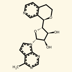 Cc1ncnc2c1ccn2[C@@H]1O[C@H]([C@@H]2OCCc3ccncc32)[C@@H](O)[C@H]1O